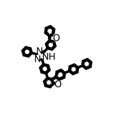 c1ccc(C2=NC(c3ccc(-c4cccc5oc6cc(-c7ccc(-c8ccccc8)cc7)ccc6c45)cc3)NC(c3ccc4oc5ccccc5c4c3)=N2)cc1